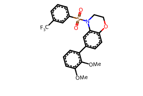 COc1cccc(-c2ccc3c(c2)N(S(=O)(=O)c2cccc(C(F)(F)F)c2)CCO3)c1OC